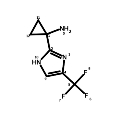 NC1(c2nc(C(F)(F)F)c[nH]2)CC1